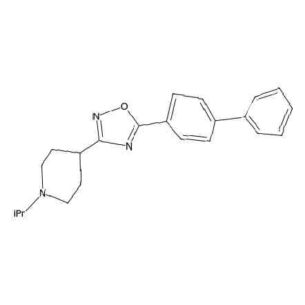 CC(C)N1CCC(c2noc(-c3ccc(-c4ccccc4)cc3)n2)CC1